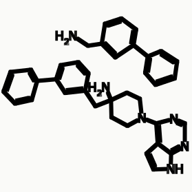 NC1(Cc2cccc(-c3ccccc3)c2)CCN(c2ncnc3[nH]ccc23)CC1.NCc1cccc(-c2ccccc2)c1